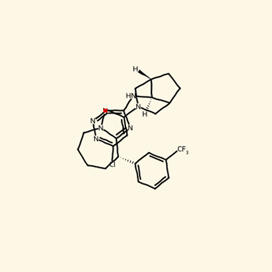 FC(F)(F)c1cccc([C@@H]2CCCCn3nc(N[C@@H]4C5CC[C@H]4CN(c4cnnc(Cl)c4)C5)nc32)c1